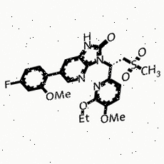 CCOc1nc([C@@H](CS(C)(=O)=O)n2c(=O)[nH]c3cc(-c4ccc(F)cc4OC)cnc32)ccc1OC